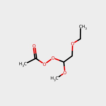 CCOCC(OC)OOC(C)=O